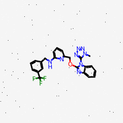 Cn1nnnc1-n1c(OCc2cccc(NCc3cccc(C(F)(F)F)c3)n2)nc2ccccc21